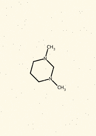 CN1CCCN(C)C1